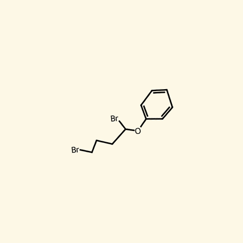 BrCCCC(Br)Oc1ccccc1